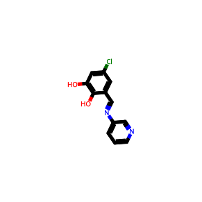 Oc1cc(Cl)cc(C=Nc2cccnc2)c1O